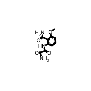 COc1cccc(NC(=O)C(N)=O)c1C(N)=O